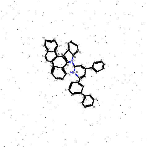 C1=C(c2ccccc2)C=C(c2cccc(-c3ccccc3)c2)NC1n1c2ccccc2c2c3c4ccccc4ccc3c3ccccc3c21